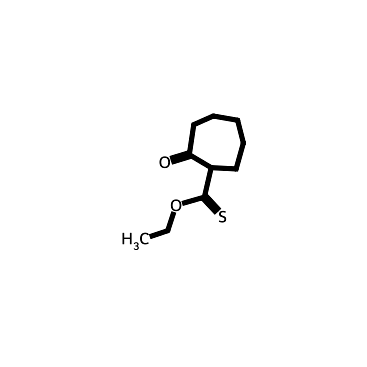 CCOC(=S)C1CCCCCC1=O